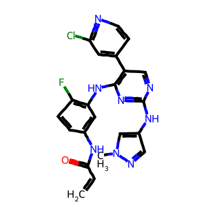 C=CC(=O)Nc1ccc(F)c(Nc2nc(Nc3cnn(C)c3)ncc2-c2ccnc(Cl)c2)c1